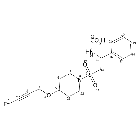 CCC#CCOC1CCN(S(=O)(=O)CC(NC(=O)O)c2ccccc2)CC1